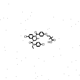 CCN(C(=O)[C@H]1C[C@H](C)N(C(=O)c2ccc(OCCC(C)(C)C(=O)O)cc2)c2ccc(Cl)cc21)c1ccc(Cl)cc1